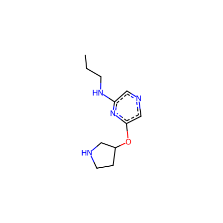 CCCNc1cncc(OC2CCNC2)n1